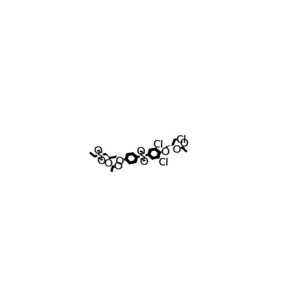 CCS(=O)(=O)C[C@@H](COc1ccc(S(=O)(=O)c2cc(Cl)c(OC[C@H](CCl)OC(C)=O)c(Cl)c2)cc1)OC(C)=O